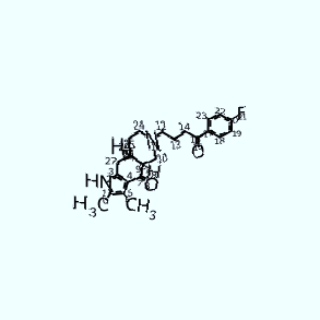 Cc1[nH]c2c(c1C)C(=O)[C@@H]1CN(CCCC(=O)c3ccc(F)cc3)CC[C@H]1C2